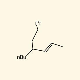 CC=CC(CCCC)CCC(C)C